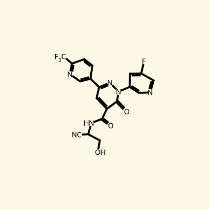 N#CC(CO)NC(=O)c1cc(-c2ccc(C(F)(F)F)nc2)nn(-c2cncc(F)c2)c1=O